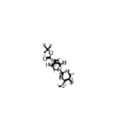 CSc1nc(N2C[C@H]3C[C@@H]2CN3C(=O)OC(C)(C)C)ncc1F